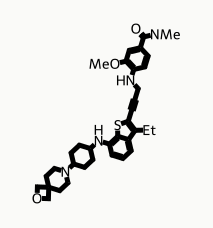 CCc1c(C#CCNc2ccc(C(=O)NC)cc2OC)sc2c(NC3CCC(N4CCC5(CC4)COC5)CC3)cccc12